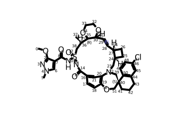 COc1nn(C)cc1C(=O)NS1(=O)=NC(=O)c2ccc3c(c2)N(C[C@@H]2CC[C@H]2/C=C/[C@H]2OCCO[C@@H]2[C@H](C)C1)C[C@@]1(CCCc2cc(Cl)ccc21)CO3